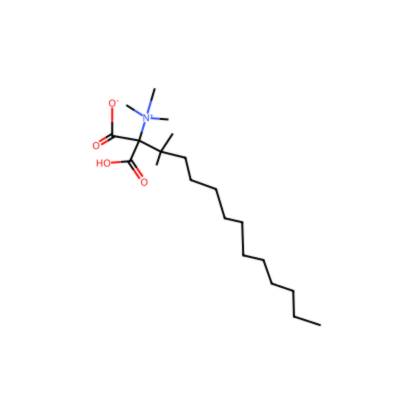 CCCCCCCCCCCC(C)(C)C(C(=O)[O-])(C(=O)O)[N+](C)(C)C